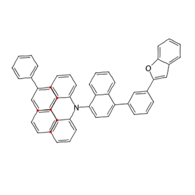 c1ccc(-c2ccc(-c3ccccc3N(c3ccccc3-c3ccccc3)c3ccc(-c4cccc(-c5cc6ccccc6o5)c4)c4ccccc34)cc2)cc1